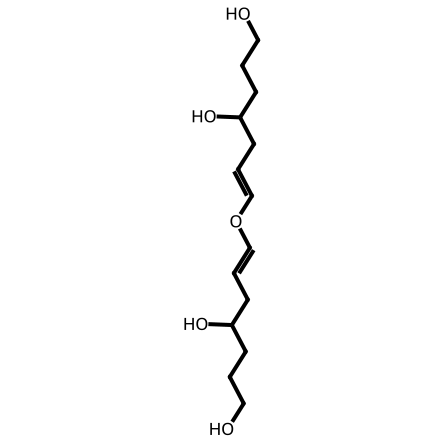 OCCCC(O)CC=COC=CCC(O)CCCO